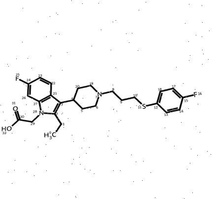 CCc1c(C2CCN(CCCSc3ccc(F)cc3)CC2)c2ccc(F)cc2n1CC(=O)O